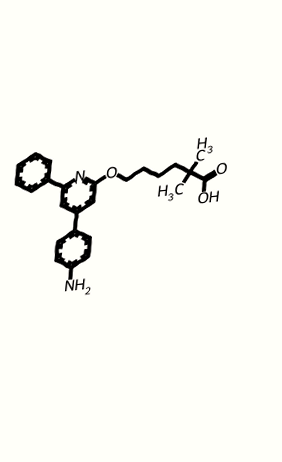 CC(C)(CCCCOc1cc(-c2ccc(N)cc2)cc(-c2ccccc2)n1)C(=O)O